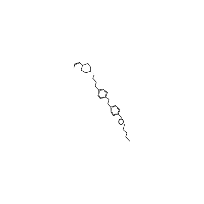 C/C=C\[C@H]1CC[C@H](CCCCc2ccc(CCc3ccc(COCCCCC)cc3)cc2)CC1